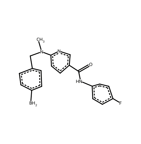 Bc1ccc(CN(C)c2ccc(C(=O)Nc3ccc(F)cc3)cn2)cc1